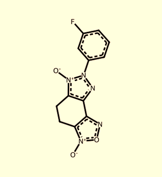 [O-][n+]1onc2c1CCc1c-2nn(-c2cccc(F)c2)[n+]1[O-]